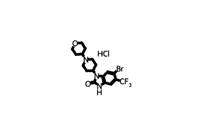 Cl.O=c1[nH]c2cc(C(F)(F)F)c(Br)cc2n1C1CCN(C2CCOCC2)CC1